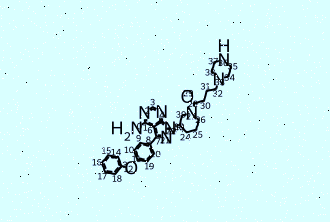 Nc1ncnc2c1c(-c1ccc(Oc3ccccc3)cc1)nn2[C@@H]1CCCN(C(=O)CCCN2CCNCC2)C1